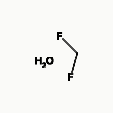 FCF.O